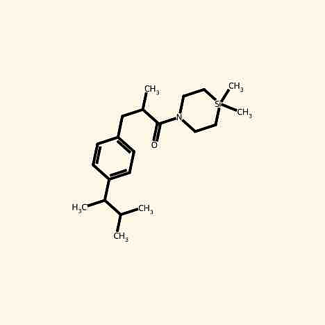 CC(Cc1ccc(C(C)C(C)C)cc1)C(=O)N1CC[Si](C)(C)CC1